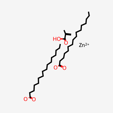 C=C(C)C(=O)O.CCCCCCCCCCCCCCCC(=O)[O-].CCCCCCCCCCCCCCCC(=O)[O-].[Zn+2]